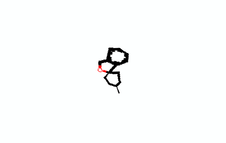 C[C@H]1CC[C@@]2(CC1)OCc1ccccc12